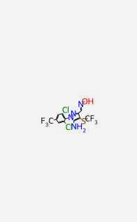 Nc1c(SC(F)(F)F)c(C=NO)nn1-c1c(Cl)cc(C(F)(F)F)cc1Cl